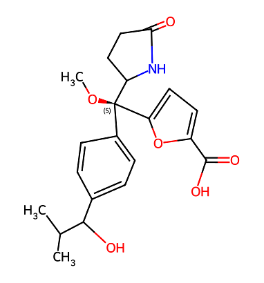 CO[C@](c1ccc(C(O)C(C)C)cc1)(c1ccc(C(=O)O)o1)C1CCC(=O)N1